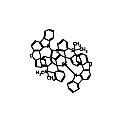 C[Si]1(C)c2ccccc2C2(c3ccccc31)c1cc(-n3c4ccccc4c4ccc5oc6ccccc6c5c43)sc1C1(c3ccccc3[Si](C)(C)c3ccccc31)c1cc(-n3c4ccccc4c4ccc5oc6ccccc6c5c43)sc12